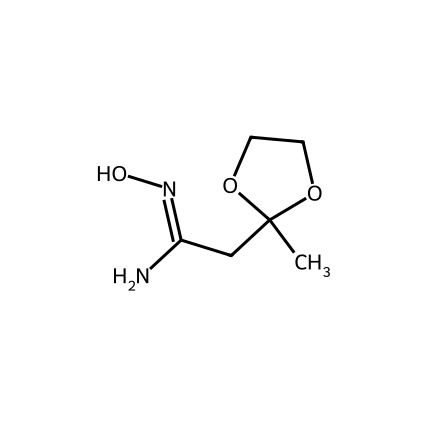 CC1(CC(N)=NO)OCCO1